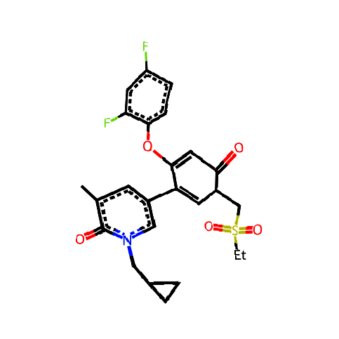 CCS(=O)(=O)CC1C=C(c2cc(C)c(=O)n(CC3CC3)c2)C(Oc2ccc(F)cc2F)=CC1=O